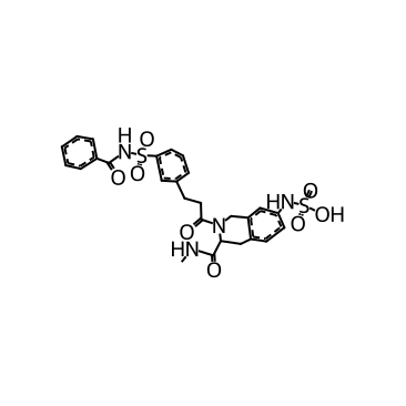 CNC(=O)C1Cc2ccc(NS(=O)(=O)O)cc2CN1C(=O)CCc1cccc(S(=O)(=O)NC(=O)c2ccccc2)c1